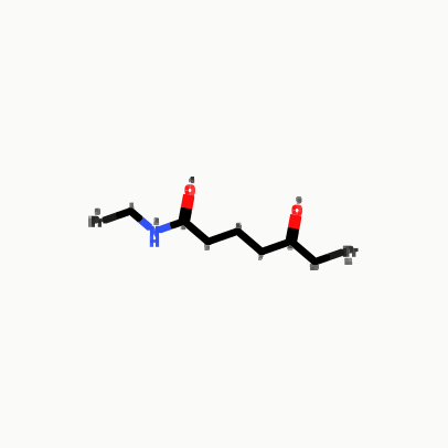 CC(C)CNC(=O)CCCC(=O)CC(C)C